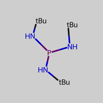 CC(C)(C)NP(NC(C)(C)C)NC(C)(C)C